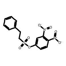 O=[N+]([O-])c1ccc(OS(=O)(=O)CCc2ccccc2)cc1[N+](=O)[O-]